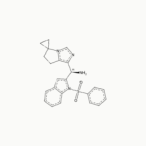 N[C@H](c1ncn2c1CCC21CC1)c1cc2ccccc2n1S(=O)(=O)c1ccccc1